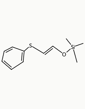 C[Si](C)(C)OC=CSc1ccccc1